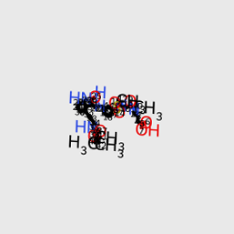 CN(CCCC(=O)O)C(=O)CN(C)S(=O)(=O)c1cccc(N/C=C2\C(=O)Nc3cccc(C#CCNC(=O)OC(C)(C)C)c32)c1